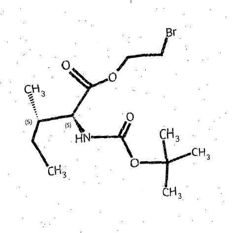 CC[C@H](C)[C@H](NC(=O)OC(C)(C)C)C(=O)OCCBr